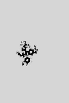 COc1cc(-n2c(C(C)(C)CC#N)c(C3CO[C@@](C)(C(=O)O)C3)c3c(F)c4[nH]ncc4cc32)ccc1F